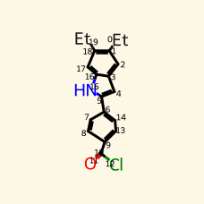 CCc1cc2cc(-c3ccc(C(=O)Cl)cc3)[nH]c2cc1CC